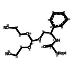 CCCCCCCC(=O)N[C@@H](COP(OCCC#N)OCCC#N)c1ccccc1